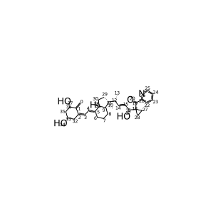 C=C1/C(=C\C=C2/CCC[C@]3(C)[C@@H]([C@H](C)/C=C/[C@@H](O)C4(C(=O)c5ccccn5)CC4)CC[C@@H]23)C[C@@H](O)C[C@@H]1O